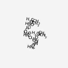 CC(C)(C)OC(=O)N[C@@H]1CCCN(Cc2ccnc(C(=O)Nc3ccc(-c4cc5c(N6CCNC7(CC7)C6)ncnc5n4COCC[Si](C)(C)C)cc3)c2)C1